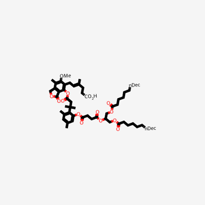 CCCCCCCCCCCCCCCC(=O)OCC(COC(=O)CCCCCCCCCCCCCCC)OC(=O)CCC(=O)Oc1cc(C)cc(C)c1C(C)(C)CC(=O)Oc1c(C/C=C(\C)CCC(=O)O)c(OC)c(C)c2c1C(=O)OC2